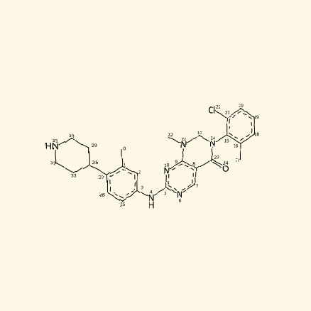 Cc1cc(Nc2ncc3c(n2)N(C)CN(c2c(C)cccc2Cl)C3=O)ccc1C1CCNCC1